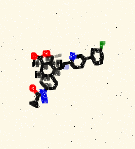 C[C@H]1OC(=O)[C@@H]2C[C@@H]3C[C@H](NC(=O)C4CC4)CCC3[C@H](/C=C/c3ccc(-c4cccc(F)c4)cn3)[C@H]12